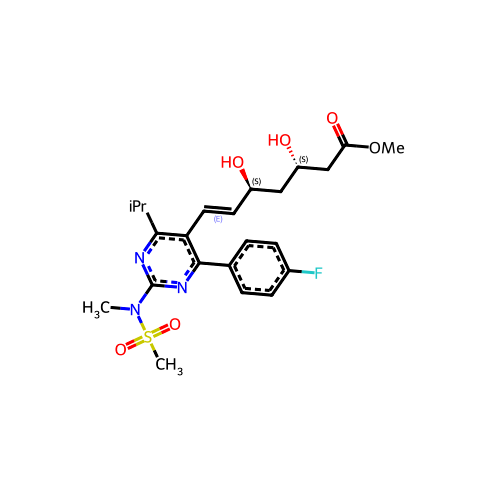 COC(=O)C[C@@H](O)C[C@H](O)/C=C/c1c(-c2ccc(F)cc2)nc(N(C)S(C)(=O)=O)nc1C(C)C